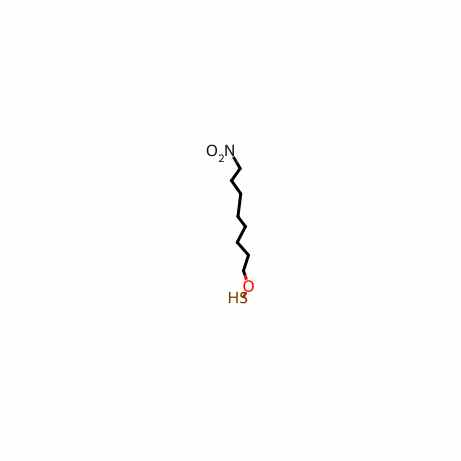 O=[N+]([O-])CCCCCCCCOS